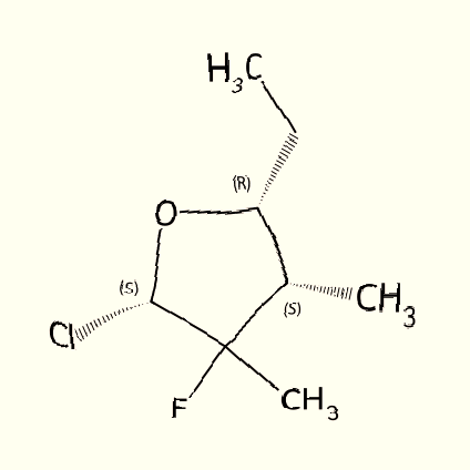 CC[C@H]1O[C@@H](Cl)C(C)(F)[C@H]1C